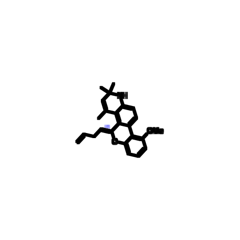 C=CC/C=C1\Oc2cccc(OC)c2-c2ccc3c(c21)C(C)=CC(C)(C)N3